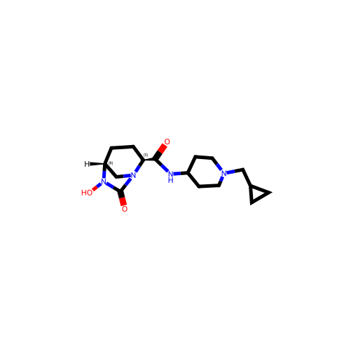 O=C(NC1CCN(CC2CC2)CC1)[C@@H]1CC[C@@H]2CN1C(=O)N2O